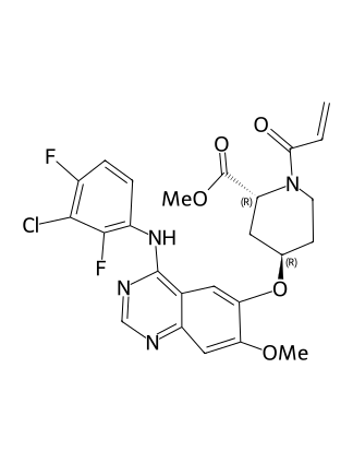 C=CC(=O)N1CC[C@@H](Oc2cc3c(Nc4ccc(F)c(Cl)c4F)ncnc3cc2OC)C[C@@H]1C(=O)OC